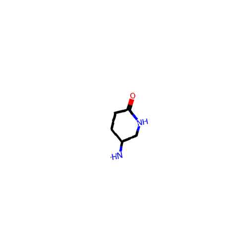 [NH]C1CCC(=O)NC1